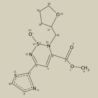 COC(=O)C1=CC(c2nccs2)=N[S+]([O-])N1CC1CCCO1